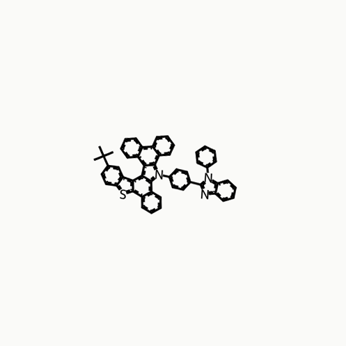 CC(C)(C)c1ccc2sc3c4ccccc4c4c(c3c2c1)c1c2ccccc2c2ccccc2c1n4-c1ccc(-c2nc3ccccc3n2-c2ccccc2)cc1